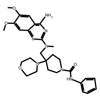 COc1cc2nc(N(C)CC3(N4CCOCC4)CCN(C(=O)Nc4ccccc4)CC3)nc(N)c2cc1OC